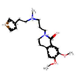 COc1cc2c(cc1OC)C(=O)N(CCCN(C)CCc1ccsc1)CC2